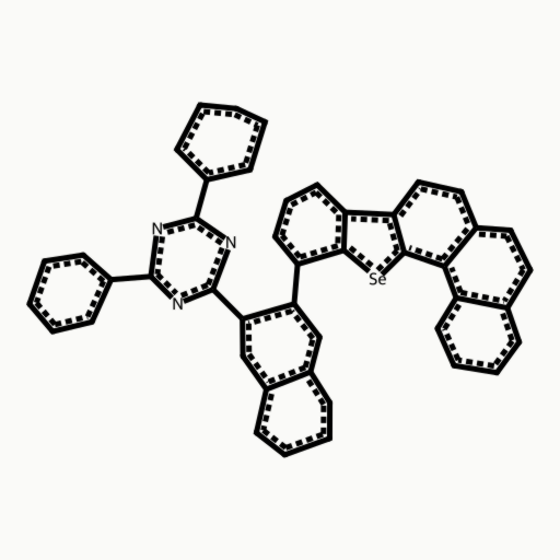 c1ccc(-c2nc(-c3ccccc3)nc(-c3cc4ccccc4cc3-c3cccc4c3[se]c3c4ccc4ccc5ccccc5c43)n2)cc1